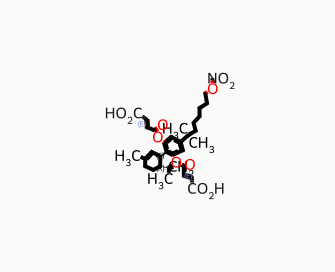 C=C(C)[C@@H]1CCC(C)=C[C@H]1c1c(OC(=O)/C=C/C(=O)O)cc(C(C)(C)CCCCCCO[N+](=O)[O-])cc1OC(=O)/C=C/C(=O)O